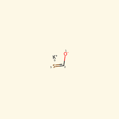 [K+].[O-]C=S